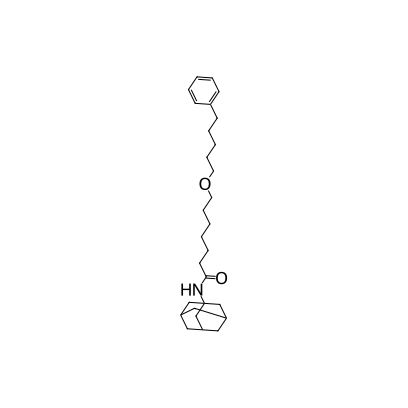 O=C(CCCCCCOCCCCCc1ccccc1)NC12CC3CC(CC(C3)C1)C2